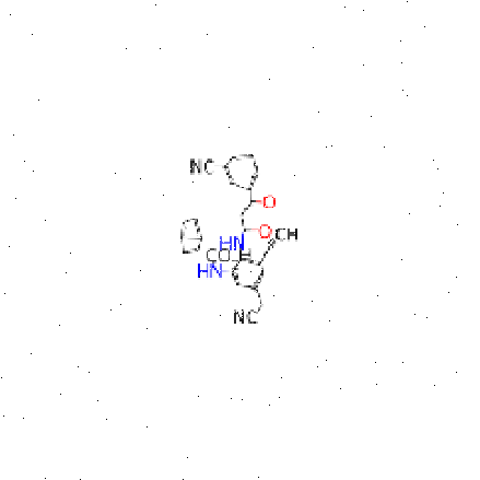 C#Cc1cc(CC#N)cc(NC(=O)O)c1NC(=O)CC(=O)c1cccc(C#N)c1.c1cc2ccc1-2